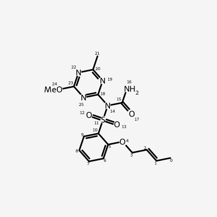 CC=CCOc1ccccc1S(=O)(=O)N(C(N)=O)c1nc(C)nc(OC)n1